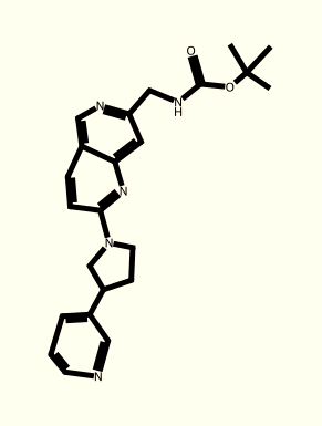 CC(C)(C)OC(=O)NCc1cc2nc(N3CCC(c4cccnc4)C3)ccc2cn1